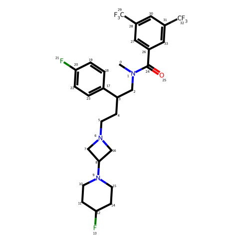 CN(CC(CCN1CC(N2CCC(F)CC2)C1)c1ccc(F)cc1)C(=O)c1cc(C(F)(F)F)cc(C(F)(F)F)c1